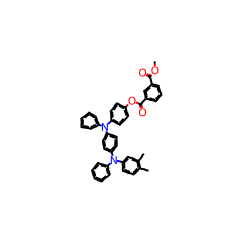 COC(=O)c1cccc(C(=O)Oc2ccc(N(c3ccccc3)c3ccc(N(c4ccccc4)c4ccc(C)c(C)c4)cc3)cc2)c1